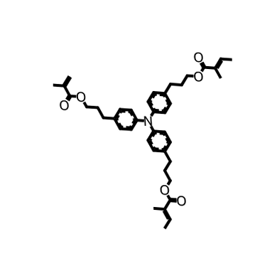 C=C(C)C(=O)OCCCc1ccc(N(c2ccc(CCCOC(=O)/C(C)=C/C)cc2)c2ccc(CCCOC(=O)/C(C)=C/C)cc2)cc1